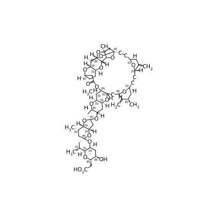 C=C1C[C@@H]2CC[C@@]34C[C@]5(C)O[C@H]6[C@@H](O3)[C@H]3O[C@H](CC[C@@H]3O[C@H]6C5O4)CC(=O)O[C@@H]3[C@@H](C)[C@@H]4O[C@@H]5C[C@@]6(C[C@@H]7O[C@]8(C[C@H](C)[C@@H]9O[C@H](CC(=O)O)[C@H](O)C[C@@H]9O8)C[C@H](C)[C@@H]7O6)O[C@@H]5C[C@@H]4O[C@H]3C[C@H]3O[C@@H](CC[C@@H]1O2)C[C@@H](C)C3=C